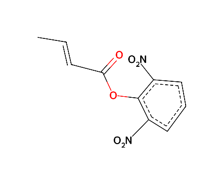 C/C=C/C(=O)Oc1c([N+](=O)[O-])cccc1[N+](=O)[O-]